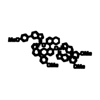 COc1ccc(-c2ccc3ccn(P(Oc4ccc5c(c4-c4c(OP(n6ccc7ccc(-c8ccc(OC)cc8)cc76)n6ccc7ccc(-c8ccc(OC)cc8)cc76)ccc6c4CCCC6)CCCC5)n4ccc5ccc(-c6ccc(OC)cc6)cc54)c3c2)cc1